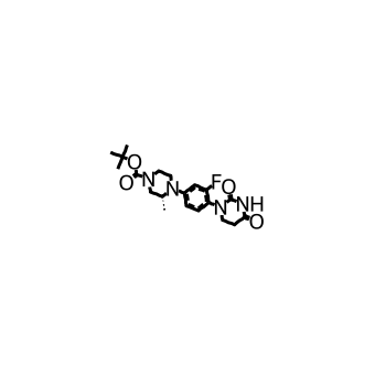 C[C@@H]1CN(C(=O)OC(C)(C)C)CCN1c1ccc(N2CCC(=O)NC2=O)c(F)c1